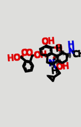 CN[C@@H]1CC[C@@]2(O)[C@H]3Cc4ccc(O)c5c4[C@@]2(CCN3CC2CC2)[C@H]1O5.O=C(O)c1ccccc1C(=O)O